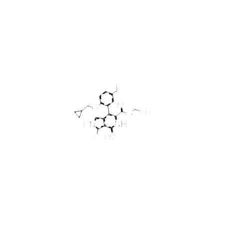 CCOC(=O)c1[nH]c(=O)c2c(C)[nH]cc2c1-c1cc(F)ccc1OCC1CC1